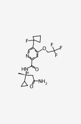 C[C@](CC(N)=O)(NC(=O)c1cc(OCC(F)(F)F)c(C2(F)CCC2)cn1)C1CC1